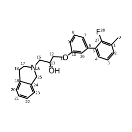 Cc1cccc(-c2cccc(OCC(O)CN3CCc4ccccc4C3)c2)c1F